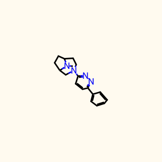 CN1C2CCC1CN(c1ccc(-c3ccccc3)nn1)CC2